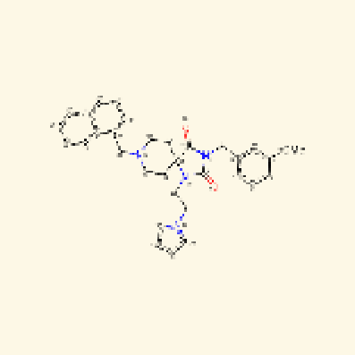 COc1cccc(CN2C(=O)N(CCn3cccc3)C3(CCN(Cc4cccc5ccccc45)CC3)C2=O)c1